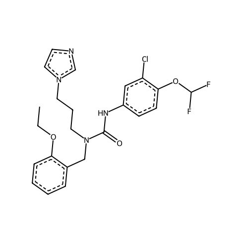 CCOc1ccccc1CN(CCCn1ccnc1)C(=O)Nc1ccc(OC(F)F)c(Cl)c1